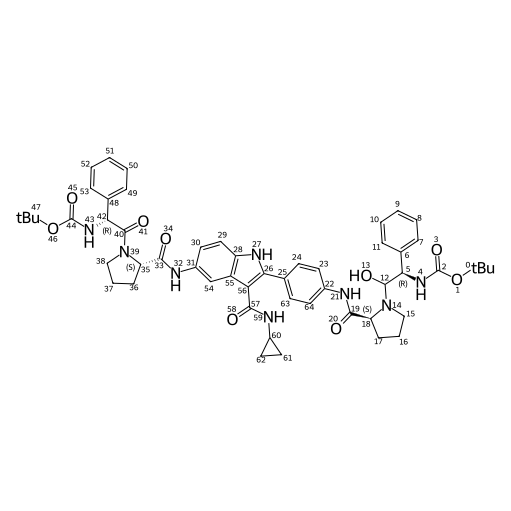 CC(C)(C)OC(=O)N[C@H](c1ccccc1)C(O)N1CCC[C@H]1C(=O)Nc1ccc(-c2[nH]c3ccc(NC(=O)[C@@H]4CCCN4C(=O)[C@H](NC(=O)OC(C)(C)C)c4ccccc4)cc3c2C(=O)NC2CC2)cc1